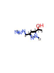 CC(O)c1cc(CN=[N+]=[N-])nn1C